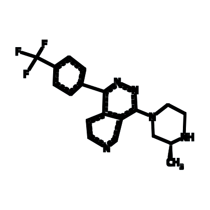 C[C@H]1CN(c2nnc(-c3ccc(C(F)(F)F)cc3)c3ccncc23)CCN1